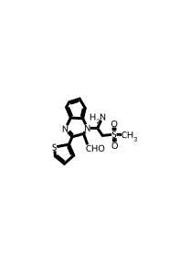 CS(=O)(=O)CC(N)N1c2ccccc2N=C(c2cccs2)C1C=O